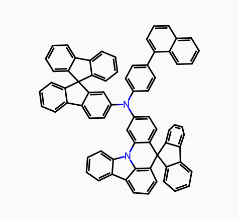 c1ccc2c(c1)-c1ccccc1C21c2ccccc2-c2ccc(N(c3ccc(-c4cccc5ccccc45)cc3)c3ccc4c(c3)-n3c5ccccc5c5cccc(c53)C43c4ccccc4-c4ccccc43)cc21